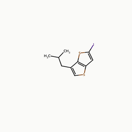 CC(C)Cc1csc2cc(I)sc12